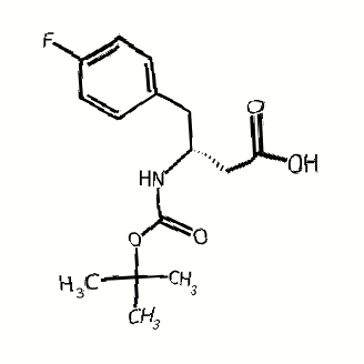 CC(C)(C)OC(=O)N[C@@H](CC(=O)O)Cc1ccc(F)cc1